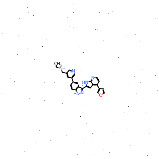 CCNCc1cncc(-c2ccc3[nH]nc(-c4cc5c(-c6ccoc6)ccnc5[nH]4)c3c2)c1